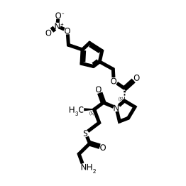 C[C@H](CSC(=O)CN)C(=O)N1CCC[C@H]1C(=O)OCc1ccc(CO[N+](=O)[O-])cc1